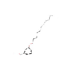 CCCCCCCCCCCOc1cccc(CO)c1